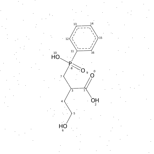 O=C(O)C(CCO)CP(=O)(O)c1ccccc1